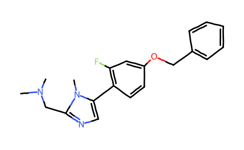 CN(C)Cc1ncc(-c2ccc(OCc3ccccc3)cc2F)n1C